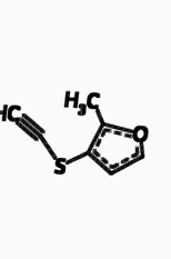 C#CSc1ccoc1C